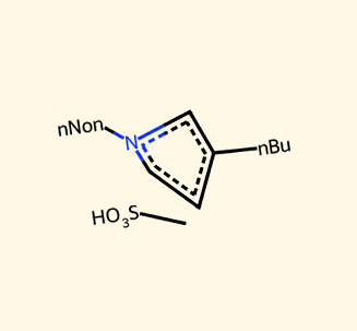 CCCCCCCCCn1ccc(CCCC)c1.CS(=O)(=O)O